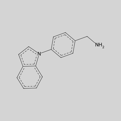 NCc1ccc(-n2ccc3ccccc32)cc1